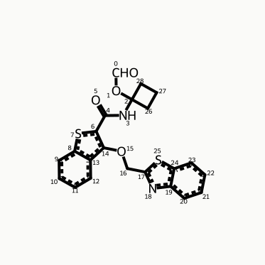 O=COC1(NC(=O)c2sc3ccccc3c2OCc2nc3ccccc3s2)CCC1